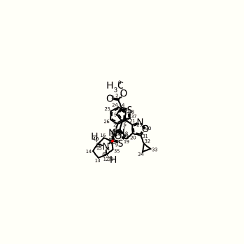 COC(=O)c1cc(-c2csc(N3[C@@H]4CC[C@H]3C[C@@H](OCc3c(-c5ccccc5C)noc3C3CC3)C4)n2)cs1